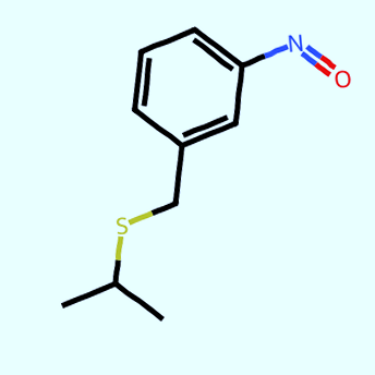 CC(C)SCc1cccc(N=O)c1